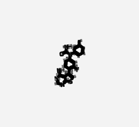 Cc1cccc(N(C(N)=O)c2ccc(-c3csc4ncnc(N)c34)c(F)c2)c1